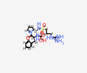 N=C(N)NCCCS(=O)(=O)NC[C@H]1CCCN1C(=O)[C@H](Cc1ccccc1)NC(=O)O